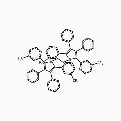 C[Si]1(CC[Si]2(C)C(c3cccc(C(F)(F)F)c3)=C(c3ccccc3)C(c3ccccc3)=C2c2cccc(C(F)(F)F)c2)C(c2cccc(C(F)(F)F)c2)=C(c2ccccc2)C(c2ccccc2)=C1c1cccc(C(F)(F)F)c1